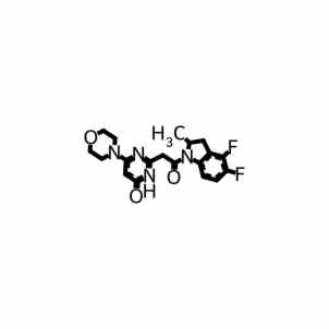 CC1Cc2c(ccc(F)c2F)N1C(=O)Cc1nc(N2CCOCC2)cc(=O)[nH]1